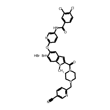 Br.Br.Cn1c(C(=O)N2CCN(Cc3ccc(C#N)cn3)CC2)cc2cc(Oc3ccc(NC(=O)c4ccc(Cl)c(Cl)c4)cn3)ccc21